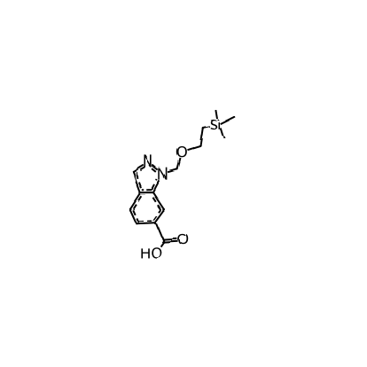 C[Si](C)(C)CCOCn1ncc2ccc(C(=O)O)cc21